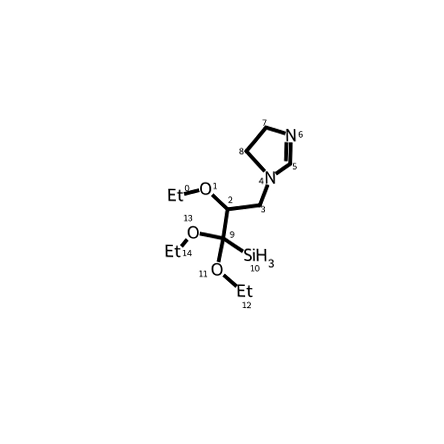 CCOC(CN1C=NCC1)C([SiH3])(OCC)OCC